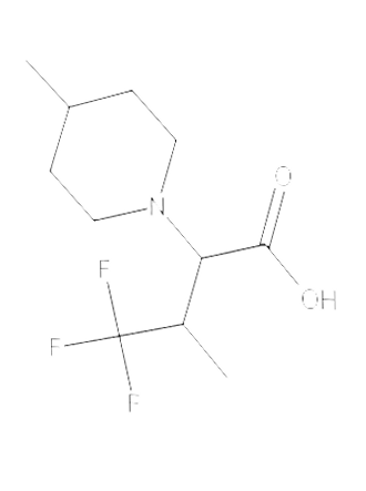 CC1CCN(C(C(=O)O)C(C)C(F)(F)F)CC1